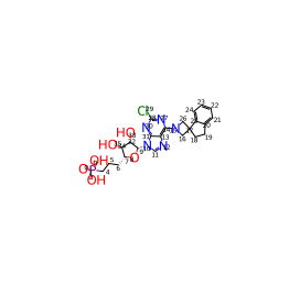 O=P(O)(O)CCC[C@H]1O[C@@H](n2cnc3c(N4CC5(CCc6ccccc65)C4)nc(Cl)nc32)[C@@H](O)C1O